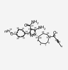 CC#CC(=O)N1CCCC[C@H](n2nc(-c3ccc(OCCC)cc3)c(C(N)=O)c2N)CC1